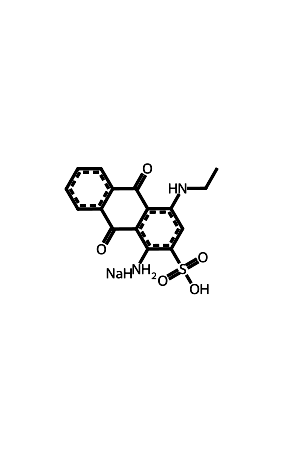 CCNc1cc(S(=O)(=O)O)c(N)c2c1C(=O)c1ccccc1C2=O.[NaH]